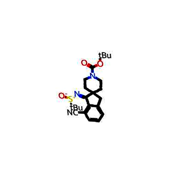 CC(C)(C)OC(=O)N1CCC2(CC1)Cc1cccc(C#N)c1/C2=N\[S@+]([O-])C(C)(C)C